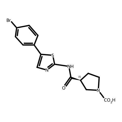 O=C(Nc1ncc(-c2ccc(Br)cc2)s1)[C@H]1CCN(C(=O)O)C1